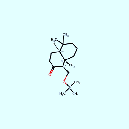 CC1(C)CCC[C@]2(C)[C@@H](CO[Si](C)(C)C)C(=O)CC[C@@H]12